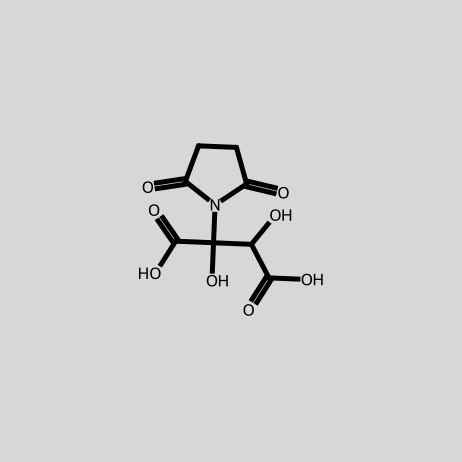 O=C(O)C(O)C(O)(C(=O)O)N1C(=O)CCC1=O